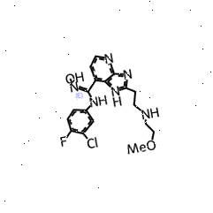 COCCNCCc1nc2nccc(/C(=N\O)Nc3ccc(F)c(Cl)c3)c2[nH]1